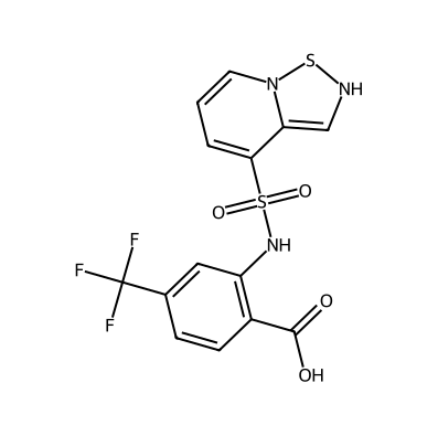 O=C(O)c1ccc(C(F)(F)F)cc1NS(=O)(=O)C1=CC=CN2SNC=C12